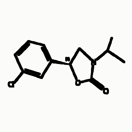 CC(C)N1C[C@@H](c2cccc(Cl)c2)OC1=O